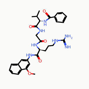 COc1cc(NC(=O)[C@H](CCCNC(=N)N)NC(=O)CNC(=O)[C@@H](NC(=O)c2ccccc2)C(C)C)cc2ccccc12